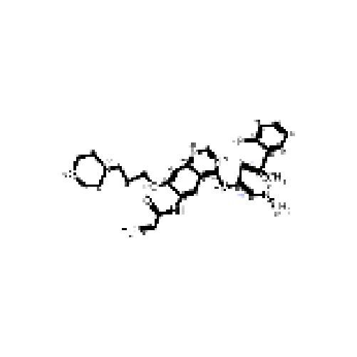 C=CC(=O)Nc1cc2c(NC(=C/N=C)/C=C(\C)c3ccccc3F)ncnc2cc1OCCCN1CCOCC1